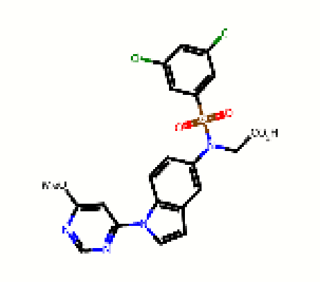 COc1cc(-n2ccc3cc(N(CC(=O)O)S(=O)(=O)c4cc(Cl)cc(Cl)c4)ccc32)ncn1